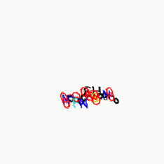 COc1cc2c(Oc3ccc([N+](=O)[O-])cc3F)ccnc2cc1OCS(=O)(=O)C1CC2CN(C(=O)OCc3ccccc3)CC2C1